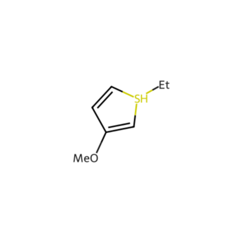 CC[SH]1C=CC(OC)=C1